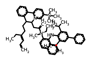 C=C/C=C(\CC)CCC1c2ccccc2-c2ccc([Si](C)(C)C)c[n+]2C1CC(=C)[N+](C)(CC)c1ccc2ccccc2c1Nc1c(C(C)C)cc(-c2ccccc2)cc1C(C)C